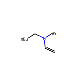 C=CN(CCCCC)C(C)C